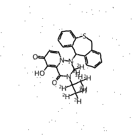 [2H]C1([2H])N(C2c3ccccc3CSc3ccccc32)n2ccc(=O)c(O)c2C(=O)N1C([2H])(C([2H])([2H])[2H])C([2H])([2H])[2H]